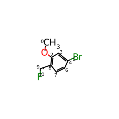 COc1cc(Br)ccc1[CH]F